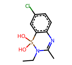 CCN1C(C)=Nc2ccc(Cl)cc2S1(O)O